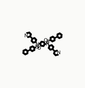 c1ccc(-c2ccc(B3Oc4cc5c(cc4N3c3ccc(-c4cccnc4)cc3)OB(c3ccc(-c4ccccc4)cc3)N5c3ccc(-c4cccnc4)cc3)cc2)cc1